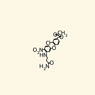 CS(=O)(=O)c1ccc(Oc2ccc([N+](=O)[O-])c(NCCC(N)=O)c2)c(Cl)c1